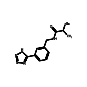 CCCCC(C)C(=O)NCc1cccc(-c2nnn[nH]2)c1